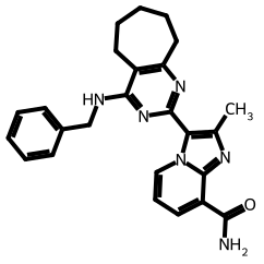 Cc1nc2c(C(N)=O)cccn2c1-c1nc2c(c(NCc3ccccc3)n1)CCCCC2